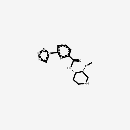 CO[C@@H]1CNCC[C@@H]1NC(=O)c1cccc(-n2cnnn2)n1